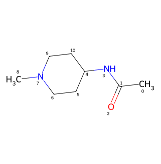 CC(=O)NC1CCN(C)CC1